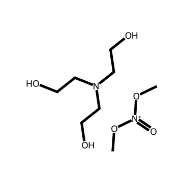 CO[N+](=O)OC.OCCN(CCO)CCO